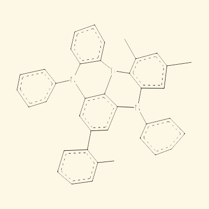 Cc1cc(C)c2c(c1)N(c1ccccc1)c1cc(-c3ccccc3C)cc3c1B2c1ccccc1N3c1ccccc1